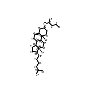 CCCC(C)OC1CC[C@@]2(C)C(=CCC3C2CC[C@@]2(C)C3CC[C@@H]2CCCCC(C)C)C1